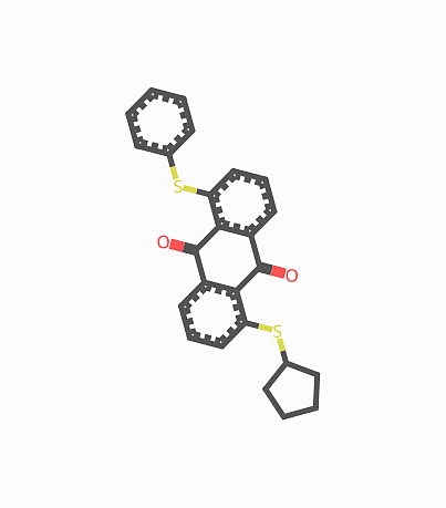 O=C1c2cccc(SC3CCCC3)c2C(=O)c2cccc(Sc3ccccc3)c21